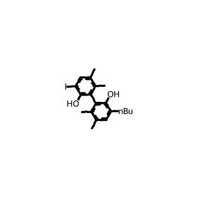 CCCCc1cc(C)c(C)c(-c2c(C)c(C)cc(I)c2O)c1O